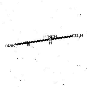 CCCCCCCCCCCCCCCCCCOC(=O)CCCCCCCCCCCCCCCNC(CCCCCCCCCCCCCCCC(=O)O)C(C)N